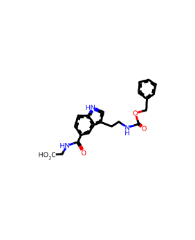 O=C(O)CNC(=O)c1ccc2[nH]cc(CCNC(=O)OCc3ccccc3)c2c1